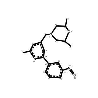 Cc1cc(CN2CC(C)OC(C)C2)cc(-c2cccc(N=O)c2)n1